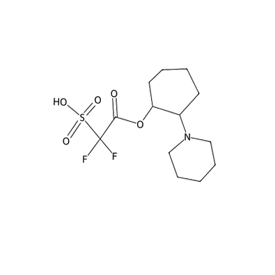 O=C(OC1CCCCC1N1CCCCC1)C(F)(F)S(=O)(=O)O